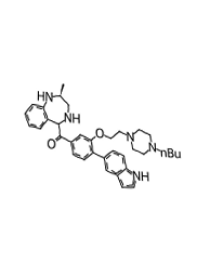 CCCCN1CCN(CCOc2cc(C(=O)C3NC[C@H](C)Nc4ccccc43)ccc2-c2ccc3[nH]ccc3c2)CC1